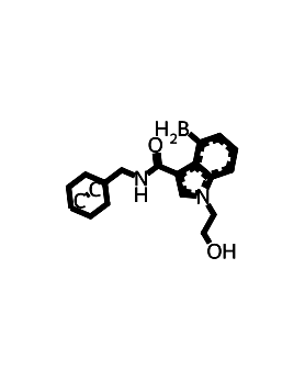 Bc1cccc2c1c(C(=O)NCC13CCC(CC1)CC3)cn2CCO